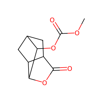 COC(=O)OC1C2CC3C(=O)OC1C3C2